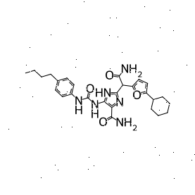 CCCCc1ccc(NC(=O)Nc2[nH]c(C(C(N)=O)c3ccc(C4CCCCC4)o3)nc2C(N)=O)cc1